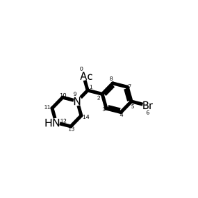 CC(=O)C(c1ccc(Br)cc1)N1CCNCC1